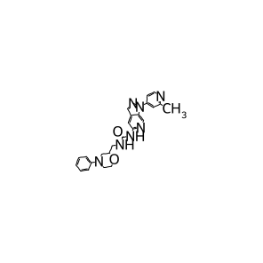 Cc1cc(-n2ncc3cc(NC(=O)NCC4CN(c5ccccc5)CCO4)ncc32)ccn1